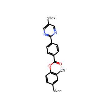 CCCCCCCCCc1ccc(OC(=O)c2ccc(-c3ncc(CCCCCC)cn3)cc2)c(C#N)c1